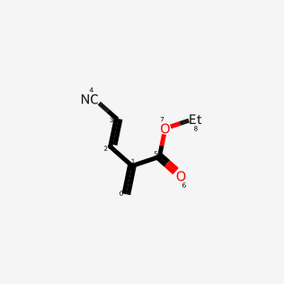 C=C(C=CC#N)C(=O)OCC